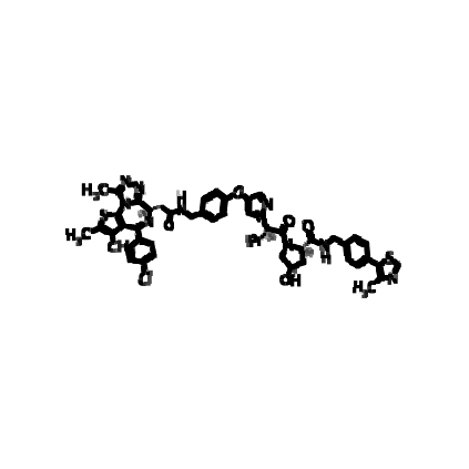 Cc1ncsc1-c1ccc(CNC(=O)[C@@H]2C[C@@H](O)CN2C(=O)[C@H](C(C)C)n2cc(Oc3ccc(CNC(=O)C[C@@H]4N=C(c5ccc(Cl)cc5)c5c(sc(C)c5C)-n5c(C)nnc54)cc3)cn2)cc1